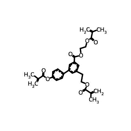 C=C(C)C(=O)OCCOC(=O)c1cc(CCOC(=O)C(=C)C)cc(-c2ccc(OC(=O)C(=C)C)cc2)c1